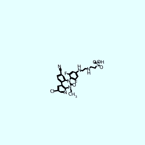 CCN1C(=O)N(c2c(F)cc(NCCNCCS(=O)(=O)O)cc2F)c2cc(C#N)ccc2-c2cc(Cl)cnc21